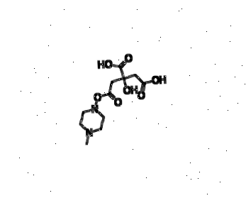 CN1CCN(OC(=O)CC(O)(CC(=O)O)C(=O)O)CC1